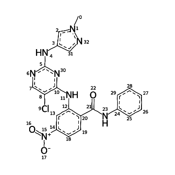 Cn1cc(Nc2ncc(Cl)c(Nc3cc([N+](=O)[O-])ccc3C(=O)Nc3ccccc3)n2)cn1